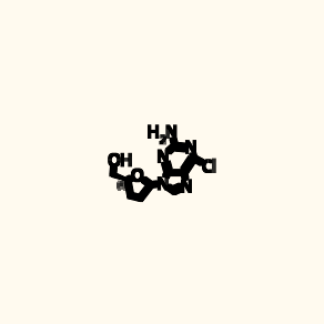 Nc1nc(Cl)c2ncn(C3CC[C@@H](CO)O3)c2n1